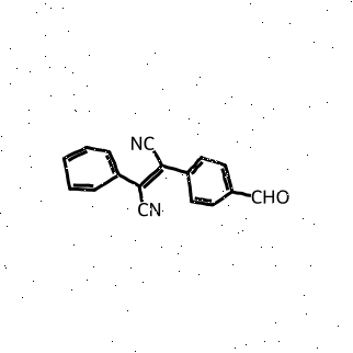 N#C/C(=C(/C#N)c1ccc(C=O)cc1)c1ccccc1